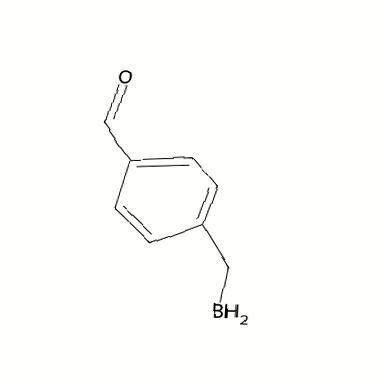 BCc1ccc(C=O)cc1